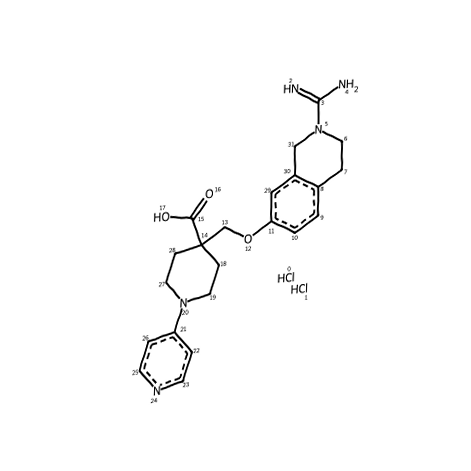 Cl.Cl.N=C(N)N1CCc2ccc(OCC3(C(=O)O)CCN(c4ccncc4)CC3)cc2C1